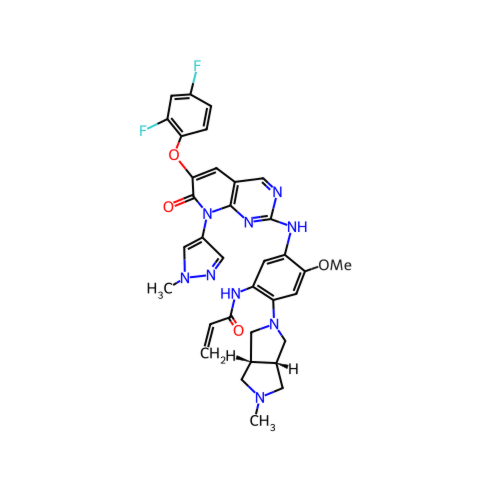 C=CC(=O)Nc1cc(Nc2ncc3cc(Oc4ccc(F)cc4F)c(=O)n(-c4cnn(C)c4)c3n2)c(OC)cc1N1C[C@H]2CN(C)C[C@H]2C1